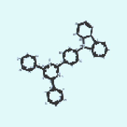 C1=CC2c3ccccc3N(c3ccc(-c4nc(-c5ccccc5)cc(-c5ccccc5)n4)cc3)C2C=C1